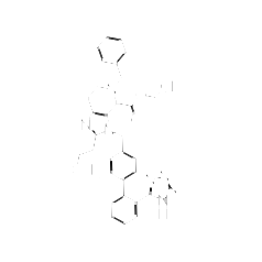 CCCc1nc2c(n1Cc1ccc(-c3ccccc3-c3nnn[nH]3)cc1)C(C(=O)OCC)N(Cc1ccccc1)CC2